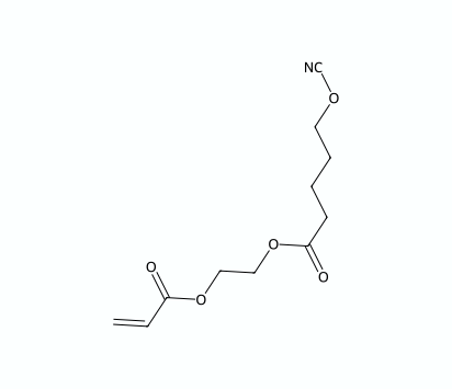 C=CC(=O)OCCOC(=O)CCCCOC#N